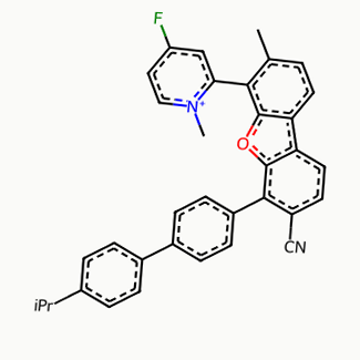 Cc1ccc2c(oc3c(-c4ccc(-c5ccc(C(C)C)cc5)cc4)c(C#N)ccc32)c1-c1cc(F)cc[n+]1C